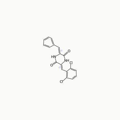 O=c1[nH]/c(=C\c2c(Cl)cccc2Cl)c(=O)[nH]/c1=C\c1ccccc1